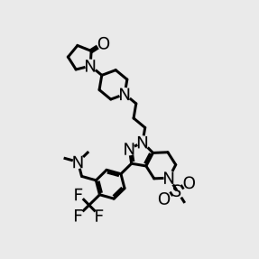 CN(C)Cc1cc(-c2nn(CCCN3CCC(N4CCCC4=O)CC3)c3c2CN(S(C)(=O)=O)CC3)ccc1C(F)(F)F